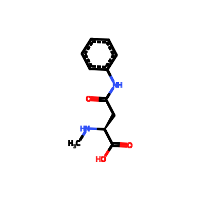 CN[C@@H](CC(=O)Nc1ccccc1)C(=O)O